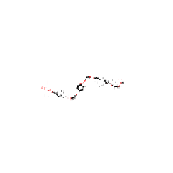 COBCOC(C)(C)C(C)(C)CCCCOC(C)(C)CCOc1ccc(OCCC(C)(C)OCCCCC(C)(C)C(C)(C)OCCC(C)(C)OC(C)=O)cc1